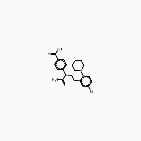 NC(=O)C(CCc1cc(Cl)ccc1N1CCCCC1)c1ccc(C(=O)O)cc1